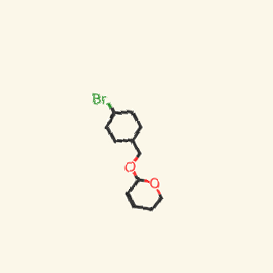 BrC1CCC(COC2CCCCO2)CC1